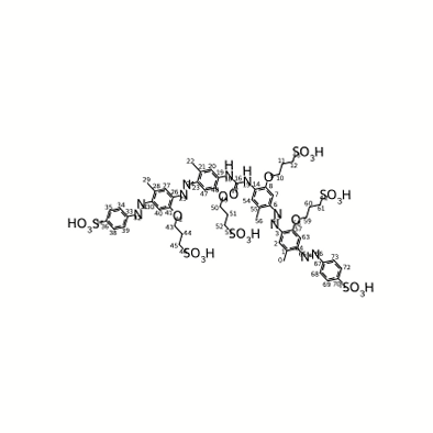 Cc1cc(N=Nc2cc(OCCCS(=O)(=O)O)c(NC(=O)Nc3cc(C)c(N=Nc4cc(C)c(N=Nc5ccc(S(=O)(=O)O)cc5)cc4OCCCS(=O)(=O)O)cc3OCCCS(=O)(=O)O)cc2C)c(OCCCS(=O)(=O)O)cc1N=Nc1ccc(S(=O)(=O)O)cc1